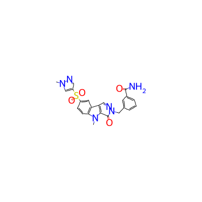 Cn1cc(S(=O)(=O)c2ccc3c(c2)c2cnn(Cc4cccc(C(N)=O)c4)c(=O)c2n3C)cn1